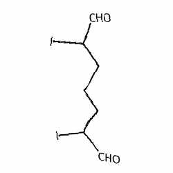 O=CC(I)CCCC(I)C=O